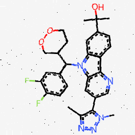 Cc1nnn(C)c1-c1cnc2c3ccc(C(C)(C)O)cc3n(C(c3ccc(F)c(F)c3)C3CCOOC3)c2c1